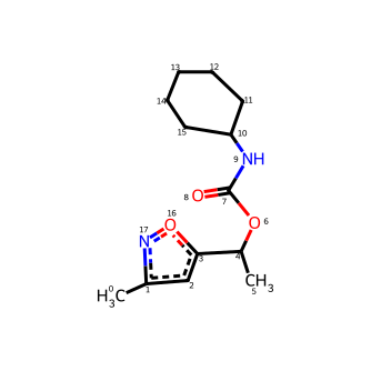 Cc1cc(C(C)OC(=O)NC2CCCCC2)on1